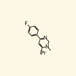 CC(C)C1=CC(c2ccc(F)cc2)=NCN1C